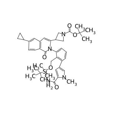 Cn1cc(-c2cccc(-n3c(C4CN(C(=O)OC(C)(C)C)C4)cc4cc(C5CC5)ccc4c3=O)c2CO[Si](C)(C)C(C)(C)C)cc1C(N)=O